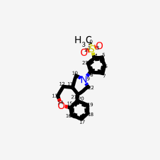 CS(=O)(=O)c1cccc(N2CC3CCOc4ccccc4C3C2)c1